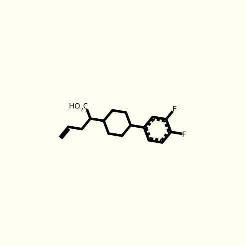 C=CCC(C(=O)O)C1CCC(c2ccc(F)c(F)c2)CC1